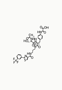 CC(=O)N[C@@H](CO)C(=O)N[C@@H](Cc1ccc(NC(=O)C(=O)O)cc1)C(=O)NCCCNC(=O)c1csc(-c2cccc(C(F)(F)F)c2)n1